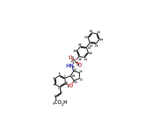 O=C(O)C=Cc1cccc2c1OC1CCC(NS(=O)(=O)c3ccc(-c4ccccc4)cc3)C21